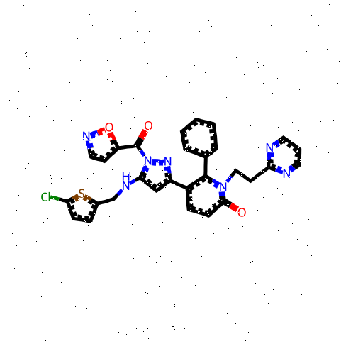 O=C(c1ccno1)n1nc(-c2ccc(=O)n(CCc3ncccn3)c2-c2ccccc2)cc1NCc1ccc(Cl)s1